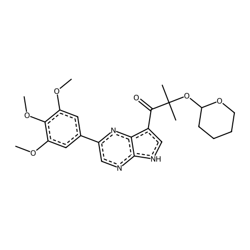 COc1cc(-c2cnc3[nH]cc(C(=O)C(C)(C)OC4CCCCO4)c3n2)cc(OC)c1OC